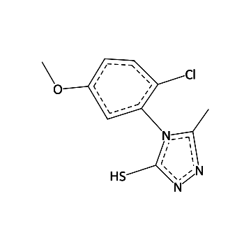 COc1ccc(Cl)c(-n2c(C)nnc2S)c1